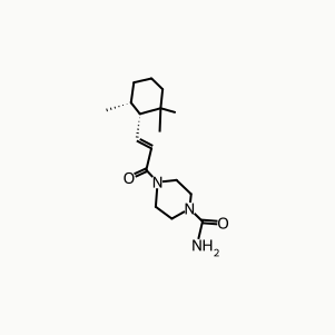 C[C@@H]1CCCC(C)(C)[C@@H]1C=CC(=O)N1CCN(C(N)=O)CC1